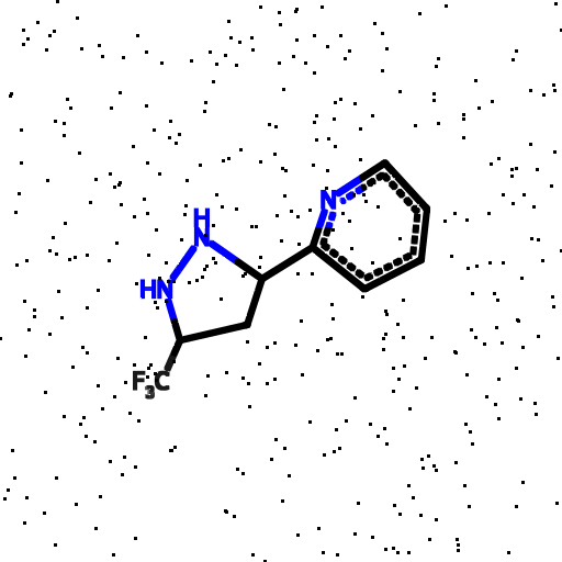 FC(F)(F)C1CC(c2ccccn2)NN1